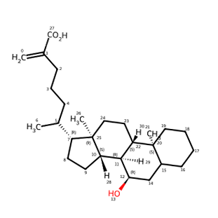 C=C(CCCC(C)[C@H]1CC[C@H]2[C@@H]3[C@H](O)CC4CCCC[C@]4(C)[C@H]3CC[C@]12C)C(=O)O